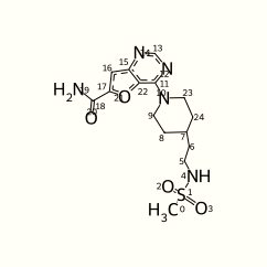 CS(=O)(=O)NCCC1CCN(c2ncnc3cc(C(N)=O)oc23)CC1